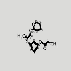 CCC(=O)Oc1cccc(SC(C)COC2CCCCO2)c1